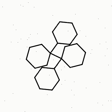 C1CC[C](C2(C3(C4CCCCC4)CCCCC3)CCCCC2)CC1